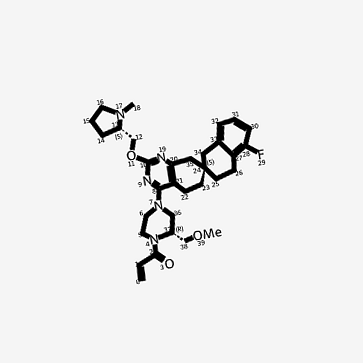 C=CC(=O)N1CCN(c2nc(OC[C@@H]3CCCN3C)nc3c2CC[C@@]2(CCc4c(F)cccc4C2)C3)C[C@@H]1COC